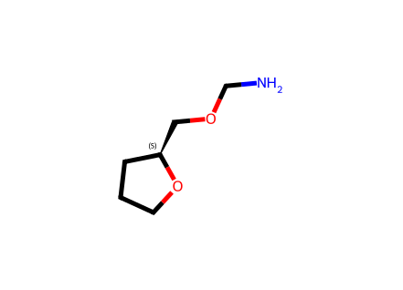 NCOC[C@@H]1CCCO1